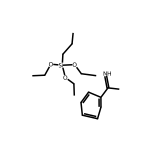 CC(=N)c1ccccc1.CCC[Si](OCC)(OCC)OCC